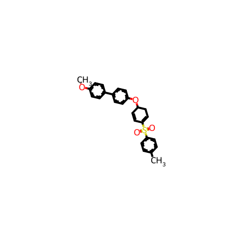 COc1ccc(-c2ccc(OC3C=CC(S(=O)(=O)c4ccc(C)cc4)=CC3)cc2)cc1